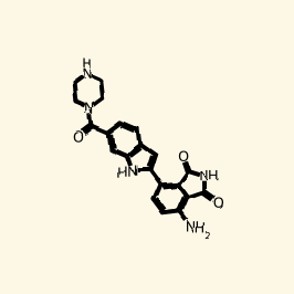 Nc1ccc(-c2cc3ccc(C(=O)N4CCNCC4)cc3[nH]2)c2c1C(=O)NC2=O